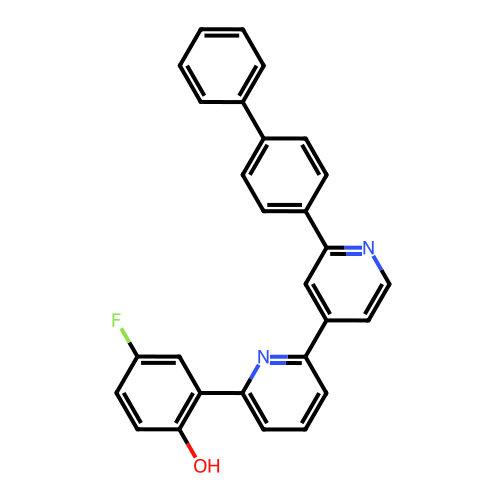 Oc1ccc(F)cc1-c1cccc(-c2ccnc(-c3ccc(-c4ccccc4)cc3)c2)n1